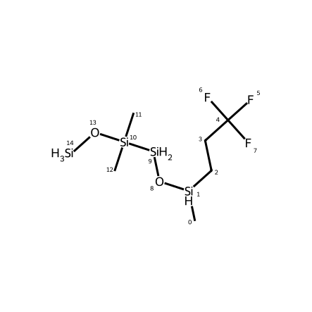 C[SiH](CCC(F)(F)F)O[SiH2][Si](C)(C)O[SiH3]